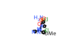 COc1ccc(-c2nc(-c3ccncc3)nn2CCN(C(=O)c2ccc(Cl)c(S(N)(=O)=O)c2)C2CCCC2)cc1Cl